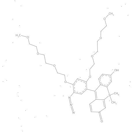 COCCOCCOCCOc1cc(OCCOCCOCCOC)c(C2=C3C=CC(=O)C=C3[Si](C)(C)c3cc(O)ccc32)cc1N=[N+]=[N-]